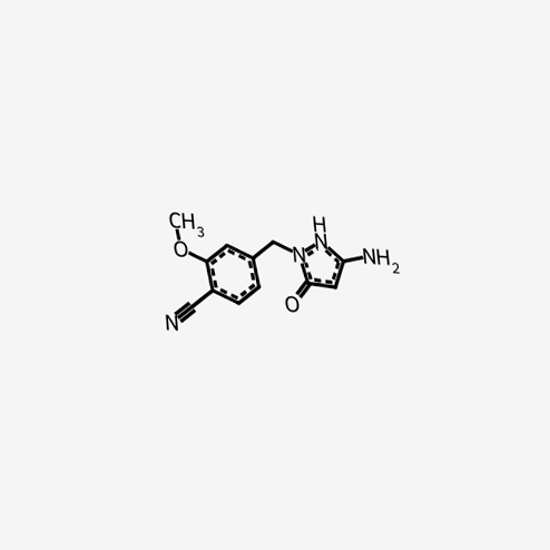 COc1cc(Cn2[nH]c(N)cc2=O)ccc1C#N